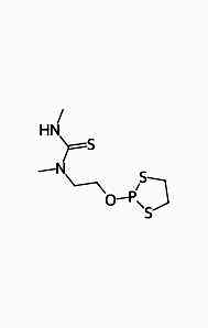 CNC(=S)N(C)CCOP1SCCS1